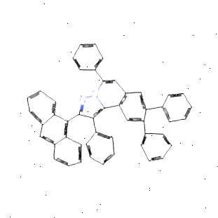 c1ccc(-c2cc3cc(-c4ccccc4)n4nc(-c5c6ccccc6cc6ccccc56)c(-c5ccccc5)c4c3cc2-c2ccccc2)cc1